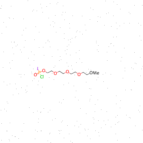 COCCOCCOCCOCCOP(=O)(Cl)I